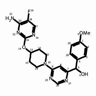 COc1ccc(C(O)c2cc(N3CCC(Oc4ncc(F)c(N)n4)CC3)ncn2)cc1